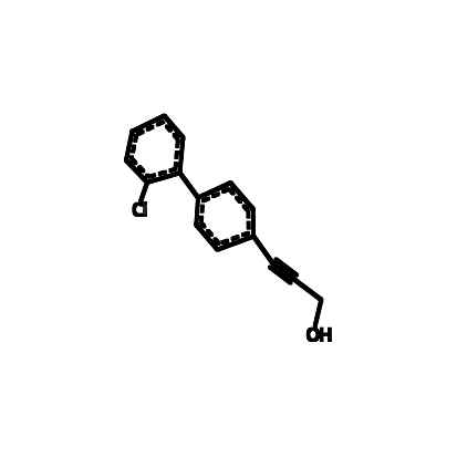 OCC#Cc1ccc(-c2ccccc2Cl)cc1